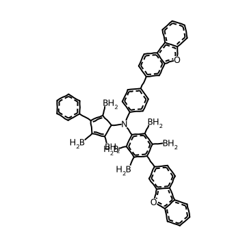 BC1=C(B)C(N(c2ccc(-c3ccc4c(c3)oc3ccccc34)cc2)c2c(B)c(B)c(-c3ccc4c(c3)oc3ccccc34)c(B)c2B)C(B)=C1c1ccccc1